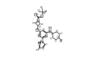 Cc1ccn(-c2nc(NC3CCC(F)CC3)cc(OC3CN(C(=O)OC(C)(C)C)C3)n2)n1